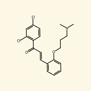 CN(C)CCCOc1ccccc1/C=C/C(=O)c1ccc(Cl)cc1Cl